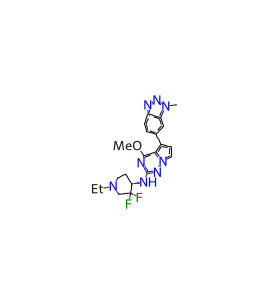 CCN1CC[C@@H](Nc2nc(OC)c3c(-c4ccc5nnn(C)c5c4)ccn3n2)C(F)(F)C1